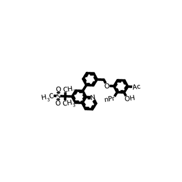 CCCc1c(OCc2cccc(-c3cc(C(C)(C)S(C)(=O)=O)cc4cccnc34)c2)ccc(C(C)=O)c1O